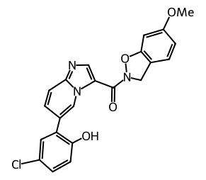 COc1ccc2c(c1)ON(C(=O)c1cnc3ccc(-c4cc(Cl)ccc4O)cn13)C2